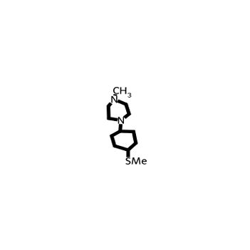 CSC1CCC(N2CCN(C)CC2)CC1